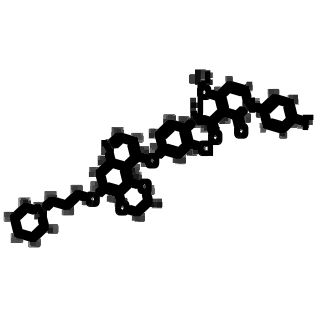 CCOc1ccn(-c2ccc(F)cc2)c(=O)c1C(=O)Nc1ccc(OC2=CC=NC3CC(OCCCN4CCCCC4)=C4OCCOC4=C23)cc1Cl